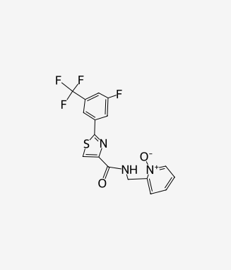 O=C(NCc1cccc[n+]1[O-])c1csc(-c2cc(F)cc(C(F)(F)F)c2)n1